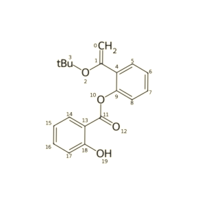 C=C(OC(C)(C)C)c1ccccc1OC(=O)c1ccccc1O